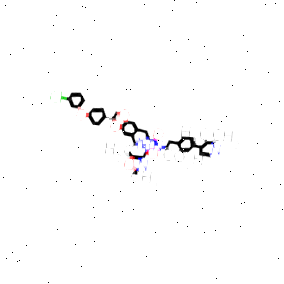 Cc1nc(C(=O)N2Cc3cc4c(cc3C[C@H]2C(=O)NC(Cc2ccc(-c3ccnc(C)c3C)cc2)C(=O)O)OC[C@H](c2ccc(Oc3cccc(Cl)c3)cc2)O4)c(C)o1